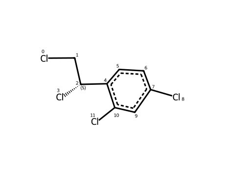 ClC[C@@H](Cl)c1ccc(Cl)cc1Cl